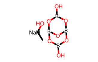 CCO.OB1OB2OB(O)OB(O1)O2.[NaH]